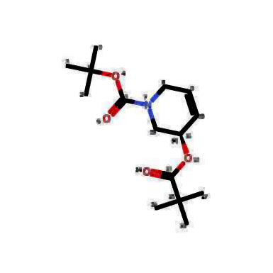 CC(C)(C)OC(=O)N1CC=C[C@@H](OC(=O)C(C)(C)C)C1